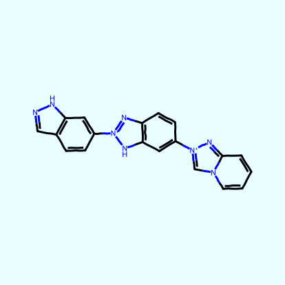 c1ccn2c[n+](-c3ccc4n[n+](-c5ccc6cn[nH]c6c5)[nH]c4c3)nc2c1